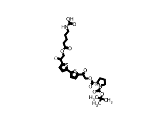 CC(C)(C)OC(=O)N1CCC[C@H]1C(=O)OCC(=O)c1ccc(-c2ccc(C(=O)COC(=O)CCCCNC(=O)O)s2)s1